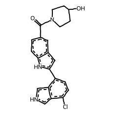 O=C(c1ccc2[nH]c(-c3ccc(Cl)c4c[nH]cc34)cc2c1)N1CCC(O)CC1